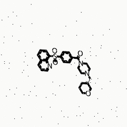 O=C(c1ccc(S(=O)(=O)c2cccc3cccnc23)cc1)N1CCN(C[C@H]2CCCOC2)CC1